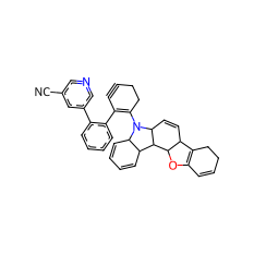 N#Cc1cncc(-c2ccccc2C2=C(N3C4C=CC=CC4C4C5OC6=C(CCC=C6)C5C=CC43)CCC#C2)c1